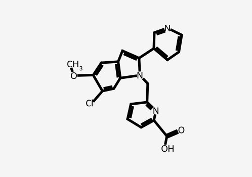 COc1cc2cc(-c3cccnc3)n(Cc3cccc(C(=O)O)n3)c2cc1Cl